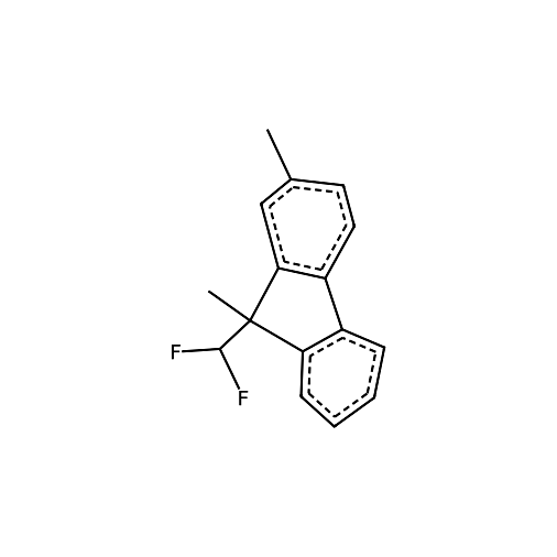 Cc1ccc2c(c1)C(C)(C(F)F)c1ccccc1-2